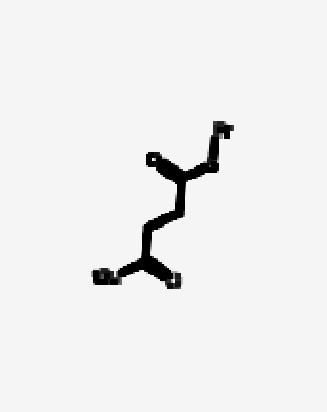 CC(C)SC(=O)CCC(=O)C(C)(C)C